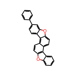 c1ccc(-c2ccc3c(c2)oc2ccc4c(ccc5oc6ccccc6c54)c23)cc1